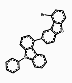 Brc1cccc2oc3ccc(-c4cccc5c4c4ccccc4n5-c4ccccc4)cc3c12